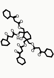 O=C(CC(=O)C1CCCCC1)OCC1(COC(=O)CC(=O)C2CCCCC2)CCCC(COC(=O)CC(=O)C2CCCCC2)(COC(=O)CC(=O)C2CCCCC2)C1O